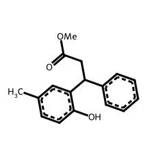 COC(=O)CC(c1ccccc1)c1cc(C)ccc1O